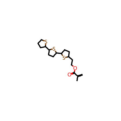 C=C(C)C(=O)OCCC1CCC(C2CCC(C3CCCS3)S2)S1